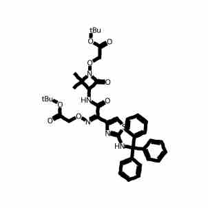 CC(C)(C)OC(=O)CON=C(C(=O)NC1C(=O)N(OCC(=O)OC(C)(C)C)C1(C)C)c1csc(NC(c2ccccc2)(c2ccccc2)c2ccccc2)n1